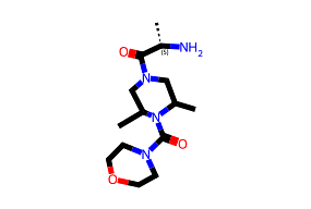 CC1CN(C(=O)[C@H](C)N)CC(C)N1C(=O)N1CCOCC1